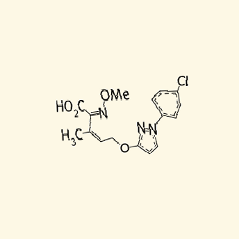 CON=C(C(=O)O)C(C)=CCOc1ccn(-c2ccc(Cl)cc2)n1